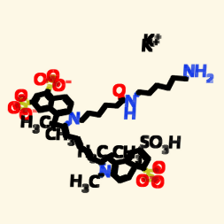 C[N+]1=C(C=CC=CC=C2N(CCCCCC(=O)NCCCCCCN)c3ccc4c(S(=O)(=O)[O-])cc(S(=O)(=O)[O-])cc4c3C2(C)C)C(C)(C)c2c1ccc1c(S(=O)(=O)[O-])cc(S(=O)(=O)O)cc21.[K+].[K+]